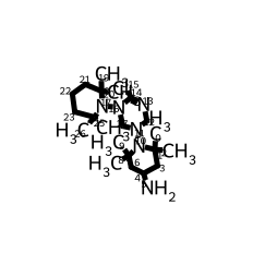 CC1(C)CC(N)CC(C)(C)N1N1CN=C(Cl)N(N2C(C)(C)CCCC2(C)C)C1